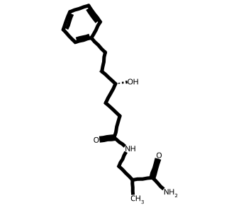 CC(CNC(=O)CC[C@@H](O)[CH]Cc1ccccc1)C(N)=O